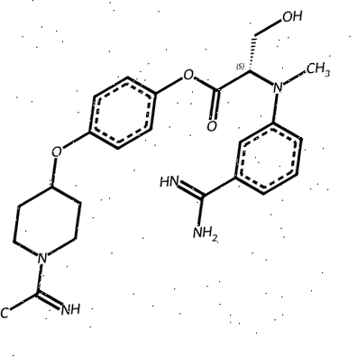 CC(=N)N1CCC(Oc2ccc(OC(=O)[C@H](CO)N(C)c3cccc(C(=N)N)c3)cc2)CC1